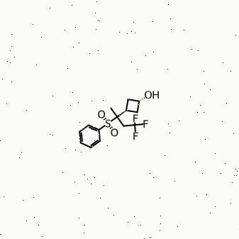 CC(CC(F)(F)F)([C@H]1C[C@H](O)C1)S(=O)(=O)c1ccccc1